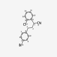 N#CC(CCc1ccc(Br)cc1)c1ccccc1Cl